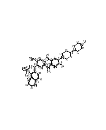 COc1cc(N2CCC(N3CCN(C)CC3)CC2)c(C)nc1Nc1ncc(Br)c(Nc2ccc3nccnc3c2P(C)(C)=O)n1